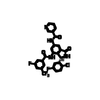 O=C(Nc1cc(NC(=O)c2cc(F)cc(C(F)(F)F)c2)c2c(c1)C(=O)N[C@@H]2c1cc(F)ccc1Cl)c1cccnc1